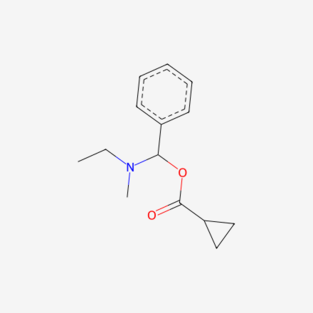 CCN(C)C(OC(=O)C1CC1)c1ccccc1